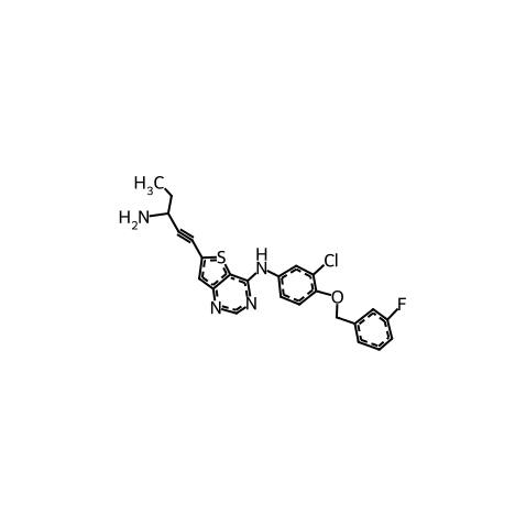 CCC(N)C#Cc1cc2ncnc(Nc3ccc(OCc4cccc(F)c4)c(Cl)c3)c2s1